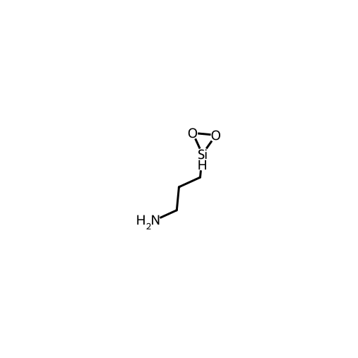 NCCC[SiH]1OO1